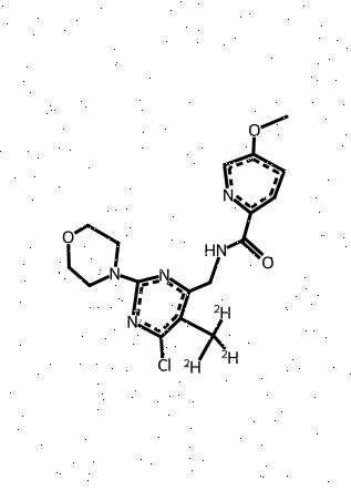 [2H]C([2H])([2H])c1c(Cl)nc(N2CCOCC2)nc1CNC(=O)c1ccc(OC)cn1